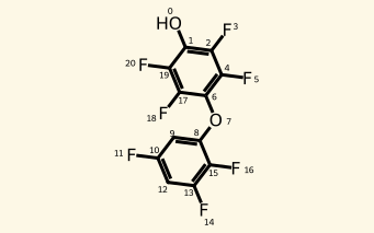 Oc1c(F)c(F)c(Oc2cc(F)cc(F)c2F)c(F)c1F